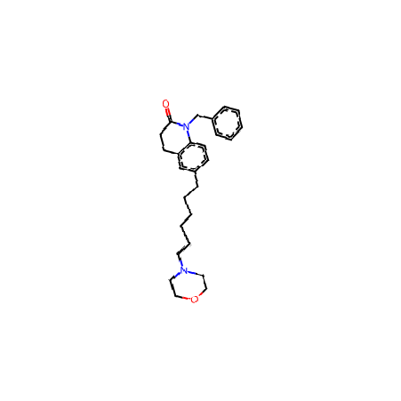 O=C1CCc2cc(CCCCCCN3CCOCC3)ccc2N1Cc1ccccc1